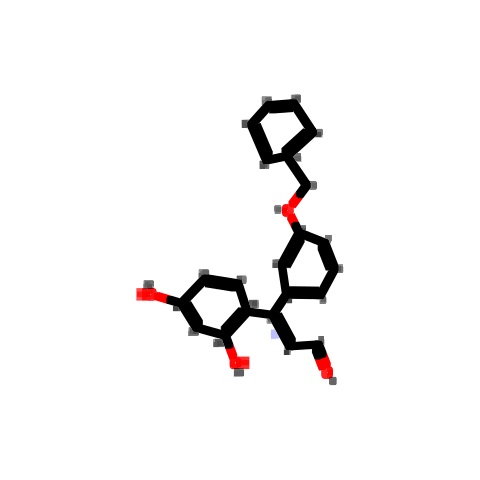 O=C/C=C(\c1cccc(OCc2ccccc2)c1)c1ccc(O)cc1O